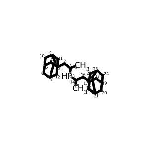 CC(CC12CC3CC(CC(C3)C1)C2)PC(C)CC12CC3CC(CC(C3)C1)C2